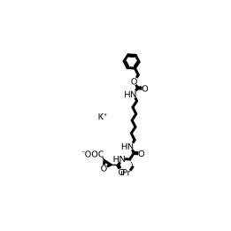 CC(C)C[C@H](NC(=O)[C@H]1O[C@@H]1C(=O)[O-])C(=O)NCCCCCCCNC(=O)OCc1ccccc1.[K+]